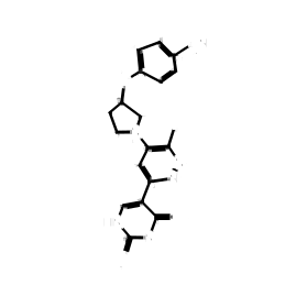 Cc1nnc(-c2c[nH]c(=O)[nH]c2=O)cc1N1CCC(Oc2ccc(C#N)cc2)C1